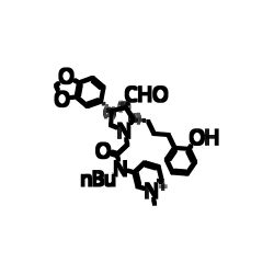 CCCCN(C(=O)CN1C[C@H](c2ccc3c(c2)OCO3)[C@@H](C=O)[C@@H]1CCCc1ccccc1O)c1ccc[n+](C)c1